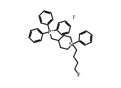 FCCCC[Si]1(c2ccccc2)CCC(C[P+](c2ccccc2)(c2ccccc2)c2ccccc2)CC1.[I-]